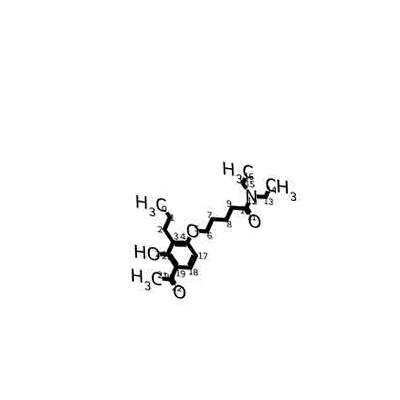 CCCc1c(OCCCCC(=O)N(CC)CC)ccc(C(C)=O)c1O